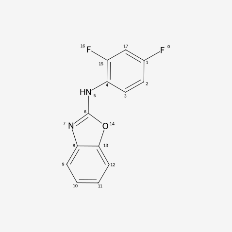 Fc1ccc(Nc2nc3ccccc3o2)c(F)c1